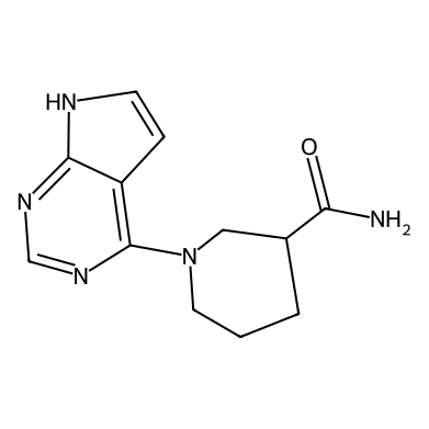 NC(=O)C1CCCN(c2ncnc3[nH]ccc23)C1